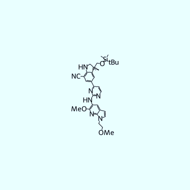 COCCn1ccc2cc(Nc3nccc(-c4cc(C#N)c5c(c4)[C@@](C)(CO[Si](C)(C)C(C)(C)C)CN5)n3)c(OC)nc21